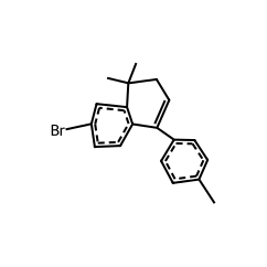 Cc1ccc(C2=CCC(C)(C)c3cc(Br)ccc32)cc1